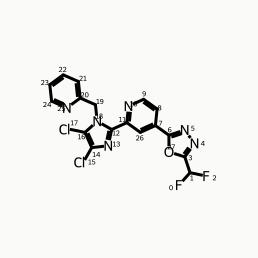 FC(F)c1nnc(-c2ccnc(-c3nc(Cl)c(Cl)n3Cc3ccccn3)c2)o1